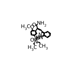 CCN(CC)S(=O)(=O)c1ccc(OC)c(/C(=C\c2n[nH]c3ccccc23)C(N)=O)c1